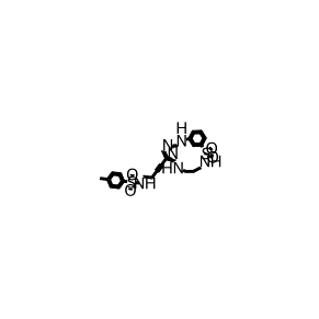 Cc1ccc(S(=O)(=O)NCCC#Cc2cnc3nc2NCCCNS(=O)(=O)c2cccc(c2)N3)cc1